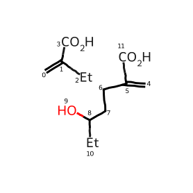 C=C(CC)C(=O)O.C=C(CCC(O)CC)C(=O)O